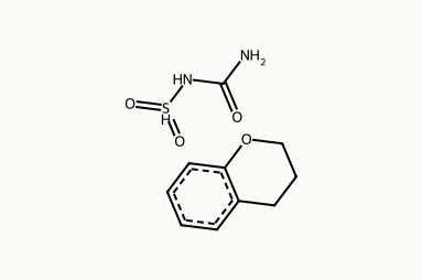 NC(=O)N[SH](=O)=O.c1ccc2c(c1)CCCO2